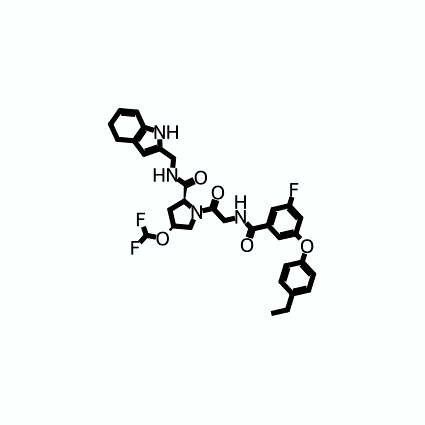 CCc1ccc(Oc2cc(F)cc(C(=O)NCC(=O)N3C[C@H](OC(F)F)C[C@H]3C(=O)NCc3cc4c([nH]3)C=CCC4)c2)cc1